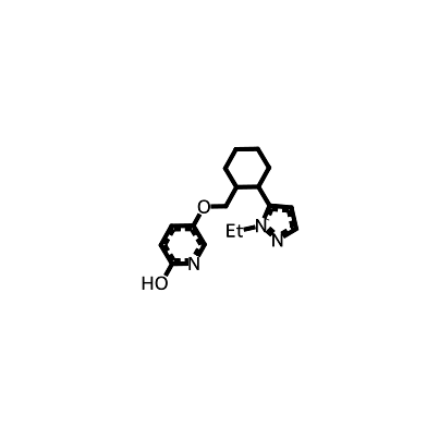 CCn1nccc1C1CCCCC1COc1ccc(O)nc1